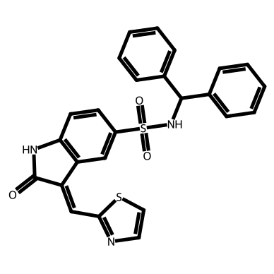 O=C1Nc2ccc(S(=O)(=O)NC(c3ccccc3)c3ccccc3)cc2/C1=C\c1nccs1